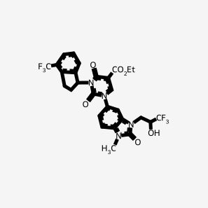 CCOC(=O)c1cn(-c2ccc3c(c2)n(CC(O)C(F)(F)F)c(=O)n3C)c(=O)n(C2CCc3c2cccc3C(F)(F)F)c1=O